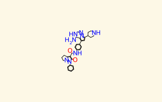 NC1NC=Nn2c(C3CCNCC3)cc(-c3ccc(NC(=O)c4c5n(n(-c6ccccc6)c4=O)CCC5)cc3)c21